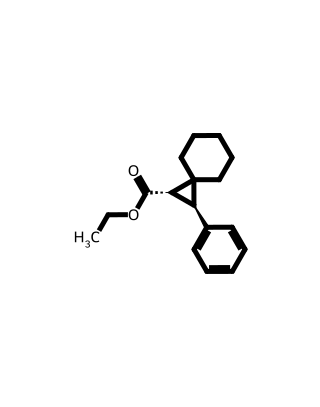 CCOC(=O)[C@H]1[C@H](c2ccccc2)C12CCCCC2